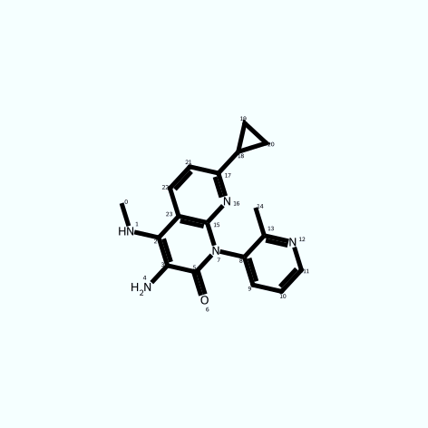 CNc1c(N)c(=O)n(-c2cccnc2C)c2nc(C3CC3)ccc12